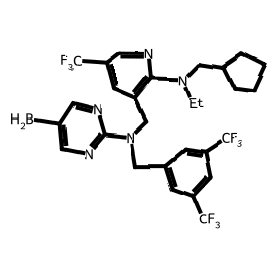 Bc1cnc(N(Cc2cc(C(F)(F)F)cc(C(F)(F)F)c2)Cc2cc(C(F)(F)F)cnc2N(CC)CC2CCCC2)nc1